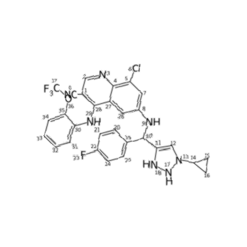 N#Cc1cnc2c(Cl)cc(NC(C3=CN(C4CC4)NN3)c3ccc(F)cc3)cc2c1Nc1ccccc1OC(F)(F)F